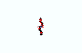 CC(C)(C)OOC(C)(C)CCC(C)(C)OOC(=O)/C=C/C(=O)OOC(C)(C)CCC(C)(C)OOC(C)(C)C